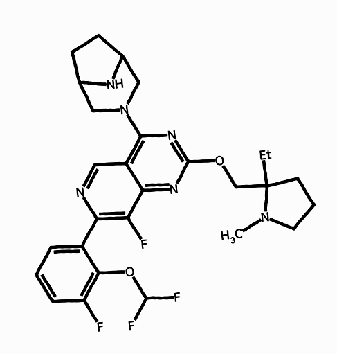 CCC1(COc2nc(N3CC4CCC(C3)N4)c3cnc(-c4cccc(F)c4OC(F)F)c(F)c3n2)CCCN1C